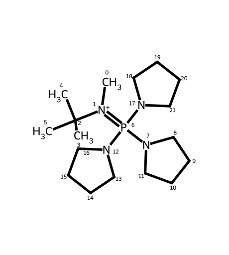 C[N+](C(C)(C)C)=P(N1CCCC1)(N1CCCC1)N1CCCC1